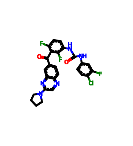 O=C(Nc1ccc(Cl)c(F)c1)Nc1ccc(F)c(C(=O)c2ccc3ncc(N4CCCC4)nc3c2)c1F